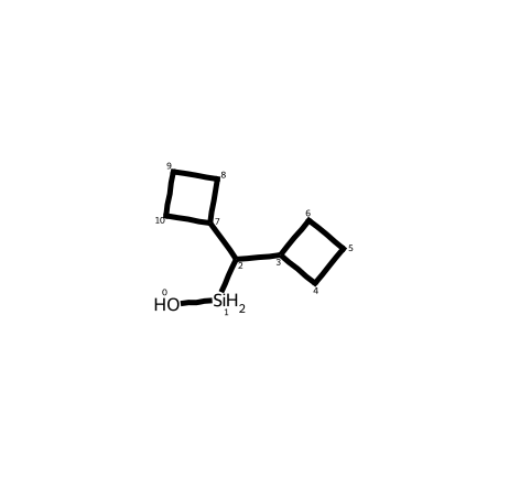 O[SiH2]C(C1CCC1)C1CCC1